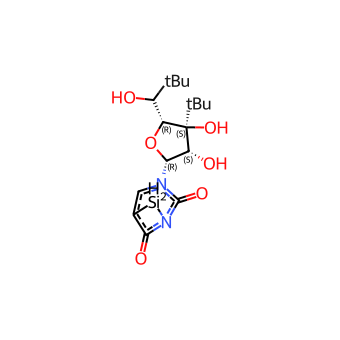 CC(C)(C)C(O)[C@H]1O[C@@H](n2cc3c(=O)n(c2=O)[SiH2]3)[C@@H](O)[C@@]1(O)C(C)(C)C